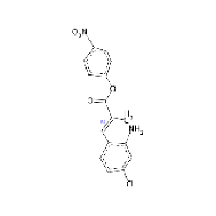 C/C(=C\c1ccc(Cl)cc1N)C(=O)Oc1ccc([N+](=O)[O-])cc1